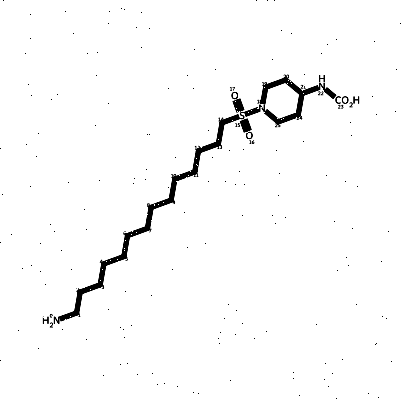 NCCCCCCCCCCCCCCS(=O)(=O)N1CCC(NC(=O)O)CC1